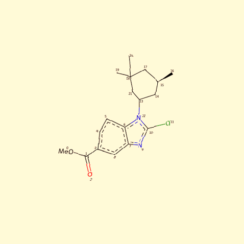 COC(=O)c1ccc2c(c1)nc(Cl)n2C1C[C@H](C)CC(C)(C)C1